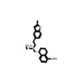 COc1cccc2c1CCC[C@H]2CN(C)CCc1ccc2oc(C)cc2c1.CS(=O)(=O)O